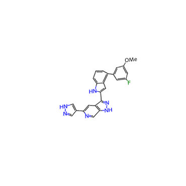 COc1cc(F)cc(-c2cccc3[nH]c(-c4n[nH]c5cnc(-c6cn[nH]c6)cc45)cc23)c1